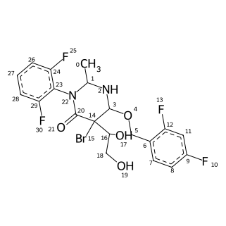 CC1NC(OCc2ccc(F)cc2F)C(Br)(C(O)CO)C(=O)N1c1c(F)cccc1F